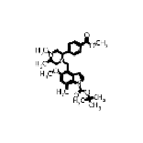 COC(=O)c1ccc(C2CN(C)C(C)CN2Cc2c(OC)cc(C)c3c2ccn3C(=O)OC(C)(C)C)cc1